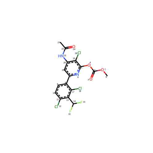 COC(=O)Oc1nc(-c2ccc(Cl)c(C(F)F)c2Cl)cc(NC(C)=O)c1Cl